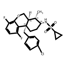 C[C@@H]1[C@H](NS(=O)(=O)C2CC2)CC[C@@]2(Cc3ccc(Cl)cc3)c3c(F)ccc(F)c3OC[C@@H]12